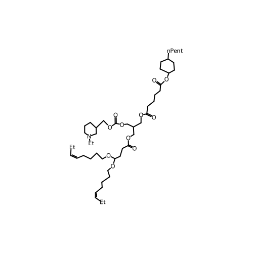 CC/C=C\CCCCOC(CCC(=O)OCC(COC(=O)CCCCC(=O)OC1CCC(CCCCC)CC1)COC(=O)OCC1CCCN(CC)C1)OCCCC/C=C\CC